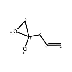 C=CCC1(Cl)CO1